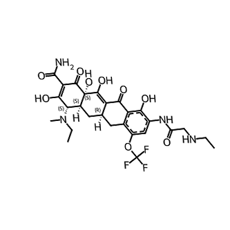 CCNCC(=O)Nc1cc(OC(F)(F)F)c2c(c1O)C(=O)C1=C(O)[C@]3(O)C(=O)C(C(N)=O)=C(O)[C@@H](N(C)CC)[C@@H]3C[C@@H]1C2